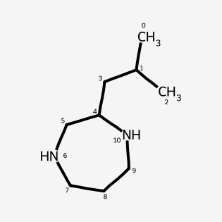 CC(C)CC1CNCCCN1